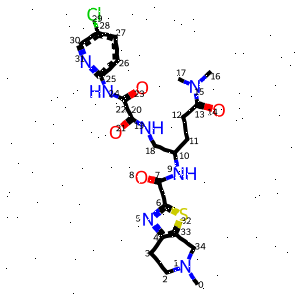 CN1CCc2nc(C(=O)NC(CCC(=O)N(C)C)CNC(=O)C(=O)Nc3ccc(Cl)cn3)sc2C1